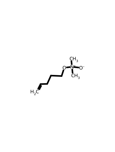 C=CCCCO[N+](C)(C)[O-]